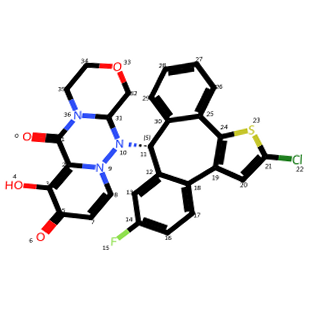 O=C1c2c(O)c(=O)ccn2N([C@H]2c3cc(F)ccc3-c3cc(Cl)sc3-c3ccccc32)C2COCCN12